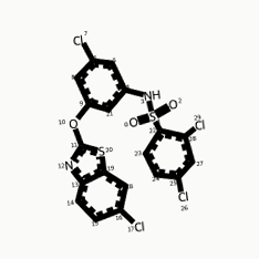 O=S(=O)(Nc1cc(Cl)cc(Oc2nc3ccc(Cl)cc3s2)c1)c1ccc(Cl)cc1Cl